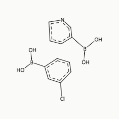 OB(O)c1cccc(Cl)c1.OB(O)c1cccnc1